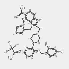 CCn1cncc1Cn1c(CN2CCC(c3nccnc3OCc3ccc(Cl)cc3F)CC2)nc2ccc(C(=O)O)cc21.O=C(O)C(F)(F)F